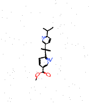 COC(=O)c1ccc(C(C)(C)c2ccc(C(C)C)nc2)nc1